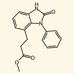 COC(=O)CCc1cccc2[nH]c(=O)n(-c3ccccc3)c12